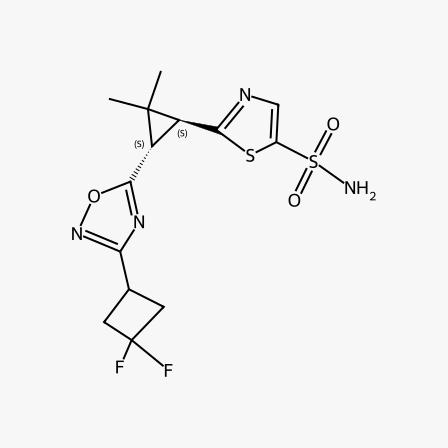 CC1(C)[C@@H](c2nc(C3CC(F)(F)C3)no2)[C@@H]1c1ncc(S(N)(=O)=O)s1